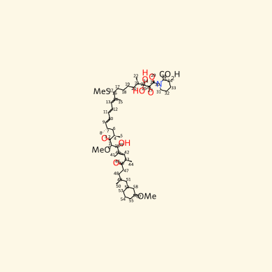 COC(C(=O)[C@H](C)C[C@H](C)/C=C/C=C/C=C(\C)[C@@H](CCCC[C@@H](C)C(O)(O)C(=O)C(=O)N1CCCC[C@H]1C(=O)O)SC)[C@H](O)/C(C)=C/[C@@H](C)C(=O)CC[C@H](C)C[C@@H]1CCC[C@H](OC)C1